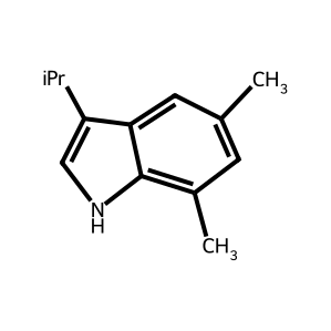 Cc1cc(C)c2[nH]cc(C(C)C)c2c1